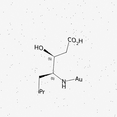 CC(C)C[C@H]([NH][Au])[C@@H](O)CC(=O)O